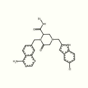 CCNC(=O)C1CN(Cc2cc3cc(Cl)ccc3[nH]2)CC(=O)N1Cc1ccc2c(N)ncnc2c1